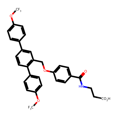 O=C(O)CCNC(=O)c1ccc(OCc2cc(-c3ccc(OC(F)(F)F)cc3)ccc2-c2ccc(OC(F)(F)F)cc2)cc1